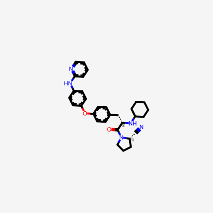 N#C[C@@H]1CCCN1C(=O)[C@H](Cc1ccc(Oc2ccc(Nc3ccccn3)cc2)cc1)NC1CCCCC1